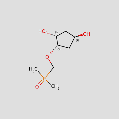 CP(C)(=O)CO[C@H]1C[C@H](O)C[C@H]1O